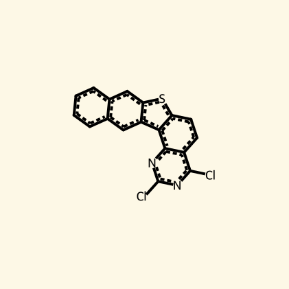 Clc1nc(Cl)c2ccc3sc4cc5ccccc5cc4c3c2n1